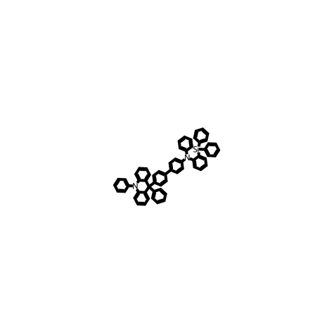 c1ccc(N2c3ccccc3C(c3ccccc3)(c3ccc(-c4ccc(N5c6ccccc6[Si](c6ccccc6)(c6ccccc6)c6ccccc65)cc4)cc3)c3ccccc32)cc1